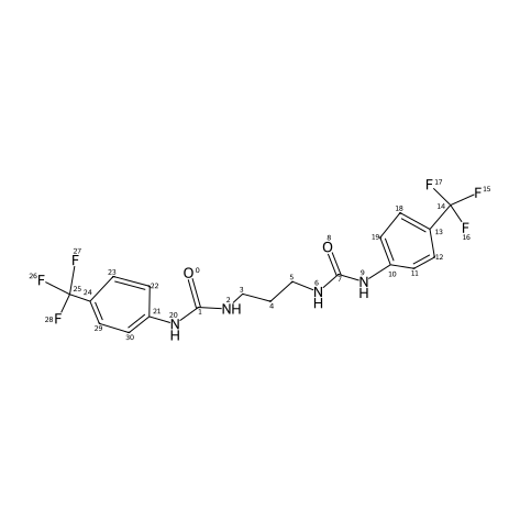 O=C(NCCCNC(=O)Nc1ccc(C(F)(F)F)cc1)Nc1ccc(C(F)(F)F)cc1